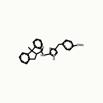 COc1ccc(Cc2c[nH]c(NC(=O)C3Cc4ccccc4C3(C)c3ccccc3)n2)cc1